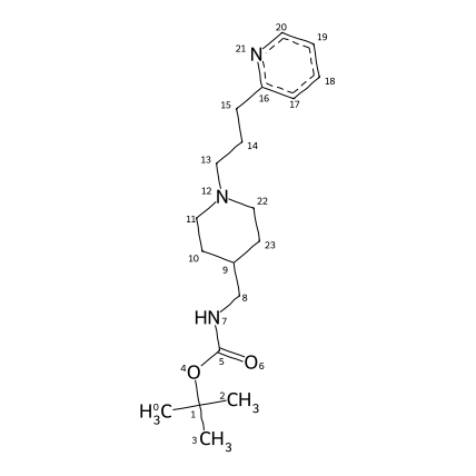 CC(C)(C)OC(=O)NCC1CCN(CCCc2ccccn2)CC1